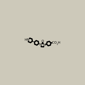 O=C(O)C1CCC(N2CCN([C@H]3CC[C@H](C4CCNCC4)CC3)C2=O)CC1